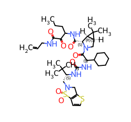 C=CCNC(=O)C(=O)C(CCC)NC(=O)[C@@H]1[C@@H]2[C@H](CN1C(=O)[C@@H](NC(=O)N[C@H](CN1Cc3sccc3S1(=O)=O)C(C)(C)C)C1CCCCC1)C2(C)C